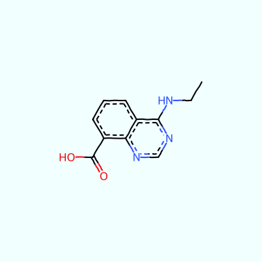 CCNc1ncnc2c(C(=O)O)cccc12